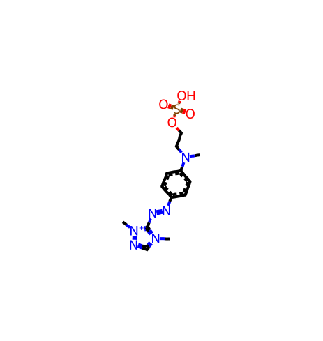 CN(CCOS(=O)(=O)O)c1ccc(N=Nc2n(C)cn[n+]2C)cc1